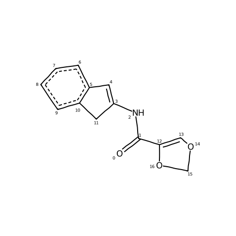 O=C(NC1=Cc2ccccc2C1)C1=COCO1